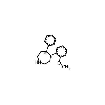 COc1ccccc1[C@H]1CCNCC[C@H]1c1ccccc1